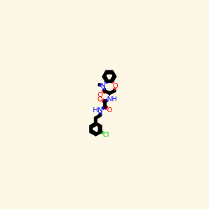 CN1C(=O)[C@@H](NC(=O)C(=O)NCCc2cccc(Cl)c2)COc2ccccc21